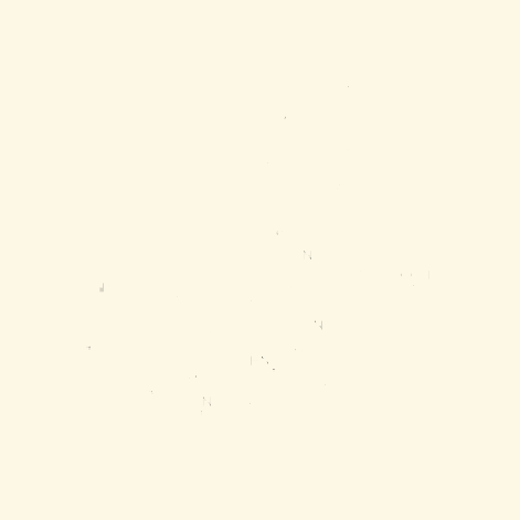 CCCc1ccc(/N=C(/C)NC(=O)N(CCC(=O)O)C(=O)NCc2ccc(C)cc2)cc1C